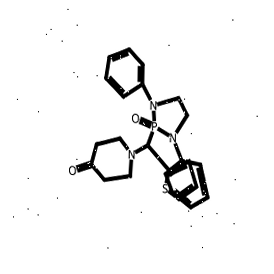 O=C1CCN(C(c2cccs2)P2(=O)N(c3ccccc3)CCN2c2ccccc2)CC1